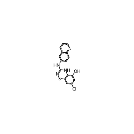 Oc1cc(Cl)cc2c1NC(Nc1ccc3ncccc3c1)=NS2